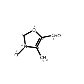 CC1=C(C=O)OCN1Cl